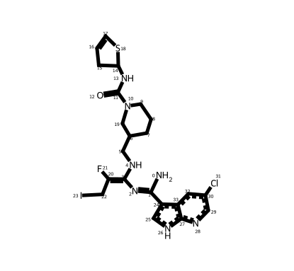 N/C(=N\C(NCC1CCCN(C(=O)NC2CC=CS2)C1)=C(\F)CI)c1c[nH]c2ncc(Cl)cc12